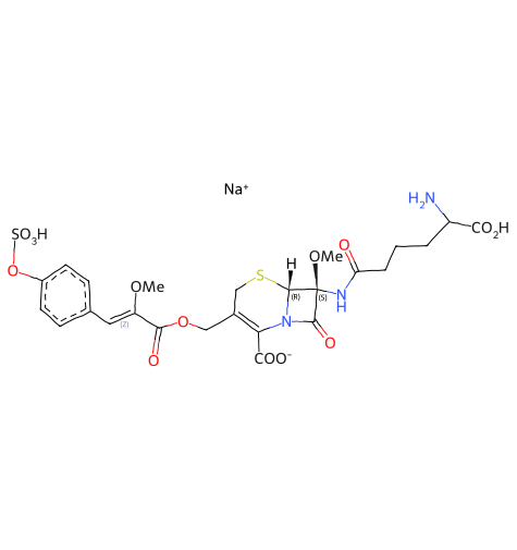 CO/C(=C\c1ccc(OS(=O)(=O)O)cc1)C(=O)OCC1=C(C(=O)[O-])N2C(=O)[C@](NC(=O)CCCC(N)C(=O)O)(OC)[C@H]2SC1.[Na+]